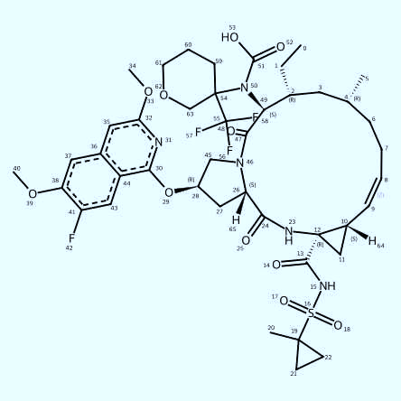 CC[C@@H]1C[C@H](C)CC/C=C\[C@@H]2C[C@@]2(C(=O)NS(=O)(=O)C2(C)CC2)NC(=O)[C@@H]2C[C@@H](Oc3nc(OC)cc4cc(OC)c(F)cc34)CN2C(=O)[C@H]1N(C(=O)O)C1(C(F)(F)F)CCCOC1